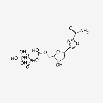 NC(=O)c1nc([C@H]2C[C@H](O)C(COP(O)O[PH](=O)O[PH](O)(O)O)O2)co1